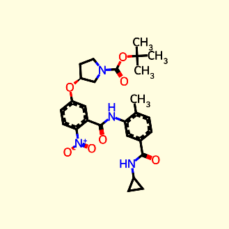 Cc1ccc(C(=O)NC2CC2)cc1NC(=O)c1cc(O[C@H]2CCN(C(=O)OC(C)(C)C)C2)ccc1[N+](=O)[O-]